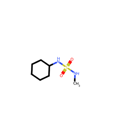 CNS(=O)(=O)NC1CC[CH]CC1